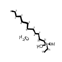 CCCCCCCCCCCC[N+](O)(O)CC.O